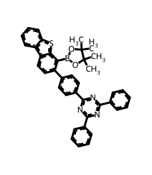 CC1(C)OB(c2c(-c3ccc(-c4nc(-c5ccccc5)nc(-c5ccccc5)n4)cc3)ccc3c2sc2ccccc23)OC1(C)C